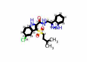 CC(C)CCS(=O)(=O)c1c(C(=O)NCc2n[nH]c3ccccc23)[nH]c2ccc(Cl)cc12